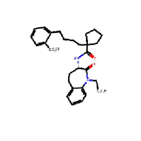 CCOC(=O)c1ccccc1CCCCC1(C(=O)N[C@H]2CCc3ccccc3N(CC(=O)O)C2=O)CCCC1